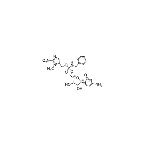 Cn1c(COP(=O)(NCc2ccccc2)OC[C@H]2O[C@@H](n3ccc(N)nc3=O)C(O)C2O)cnc1[N+](=O)[O-]